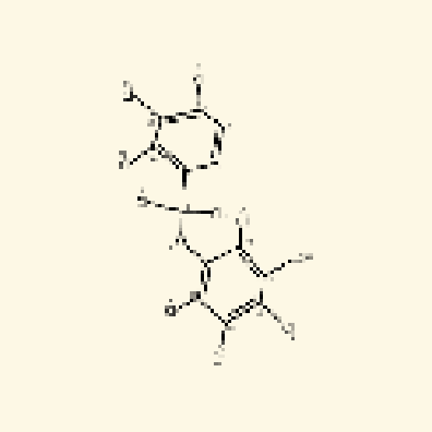 Clc1ccc(C(Cl)(Cl)Oc2c(Cl)c(Cl)c(Cl)c(Cl)c2Cl)c(Cl)c1Cl